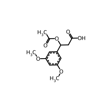 COc1cc(OC)cc(C(CC(=O)O)OC(C)=O)c1